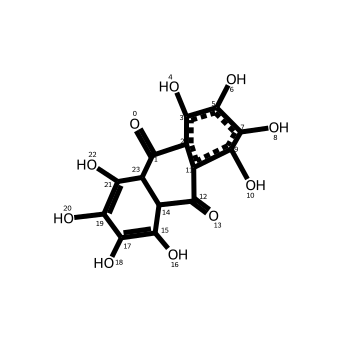 O=C1c2c(O)c(O)c(O)c(O)c2C(=O)C2C(O)=C(O)C(O)=C(O)C12